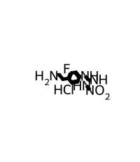 Cl.N=C(Nc1ccc(CCN)c(F)c1)N[N+](=O)[O-]